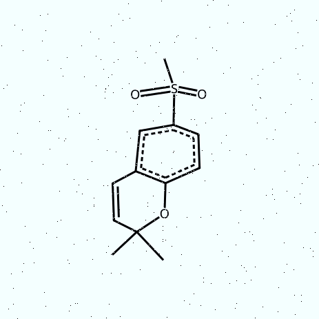 CC1(C)C=Cc2cc(S(C)(=O)=O)ccc2O1